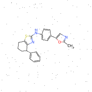 Cc1ncc(-c2ccc(Nc3nc4c(s3)CCCC4c3ccccc3)cc2)o1